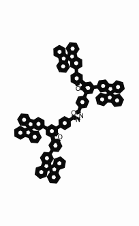 c1ccc2c(c1)-c1ccccc1C21c2ccccc2-c2ccc(-c3ccc4oc5c(-c6ccc(-c7nnc(-c8ccc(-c9cc(-c%10ccc%11c(c%10)C%10(c%12ccccc%12-c%12ccccc%12%10)c%10ccccc%10-%11)cc%10c9oc9ccc(-c%11ccc%12c(c%11)C%11(c%13ccccc%13-c%13ccccc%13%11)c%11ccccc%11-%12)cc9%10)cc8)o7)cc6)cc(-c6ccc7c(c6)C6(c8ccccc8-c8ccccc86)c6ccccc6-7)cc5c4c3)cc21